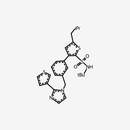 CC(C)Cc1cc(-c2cccc(Cn3ccnc3-c3ccsc3)c2)c(S(=O)(=O)NC(C)(C)C)s1